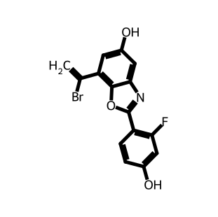 C=C(Br)c1cc(O)cc2nc(-c3ccc(O)cc3F)oc12